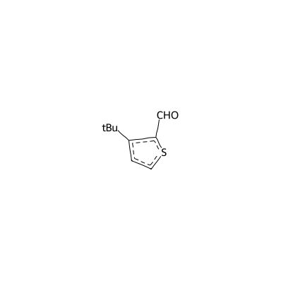 CC(C)(C)c1ccsc1C=O